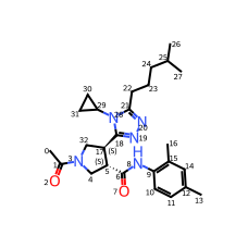 CC(=O)N1C[C@@H](C(=O)Nc2ccc(C)cc2C)[C@H](c2nnc(CCCC(C)C)n2C2CC2)C1